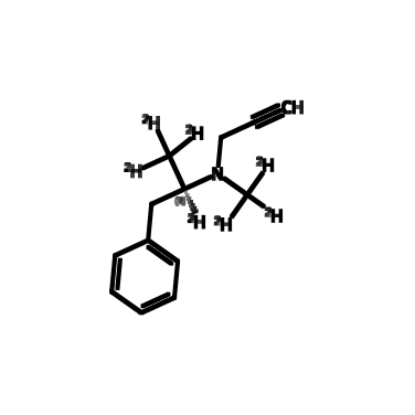 [2H]C([2H])([2H])N(CC#C)[C@@]([2H])(Cc1ccccc1)C([2H])([2H])[2H]